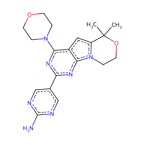 CC1(C)OCCn2c1cc1c(N3CCOCC3)nc(-c3cnc(N)nc3)nc12